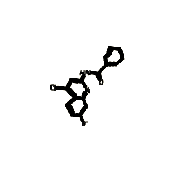 O=C(Nc1cc(Cl)c2ccc(Br)cc2n1)c1ccccc1